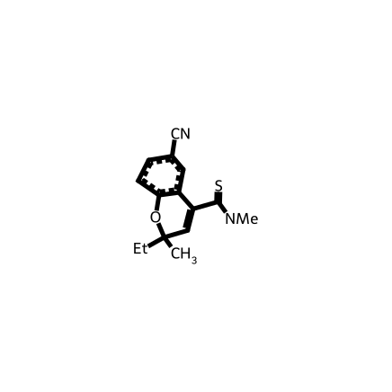 CCC1(C)C=C(C(=S)NC)c2cc(C#N)ccc2O1